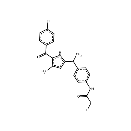 Cc1cc(C(C)c2ccc(NC(=O)CF)cc2)[nH]c1C(=O)c1ccc(Cl)cc1